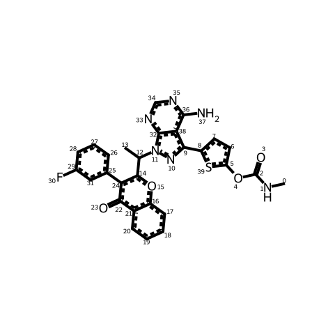 CNC(=O)Oc1ccc(-c2nn(C(C)c3oc4ccccc4c(=O)c3-c3cccc(F)c3)c3ncnc(N)c23)s1